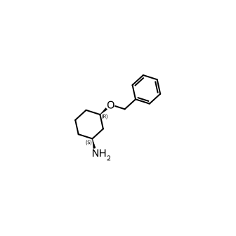 N[C@H]1CCC[C@@H](OCc2ccccc2)C1